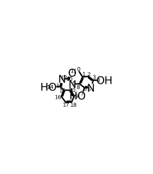 Cc1cc(O)nc(O)c1-n1c(=O)nc(O)c2ccccc21